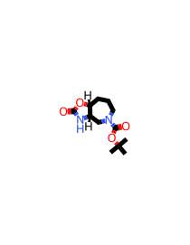 CC(C)(C)OC(=O)N1CCC[C@H]2OC(=O)N[C@H]2C1